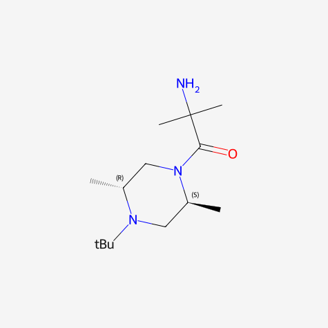 C[C@@H]1CN(C(=O)C(C)(C)N)[C@@H](C)CN1C(C)(C)C